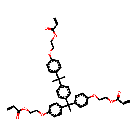 C=CC(=O)OCCOc1ccc(C(C)(C)c2ccc(C(C)(c3ccc(OCCOC(=O)C=C)cc3)c3ccc(OCCOC(=O)C=C)cc3)cc2)cc1